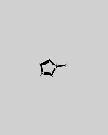 CC(C)n1[c]cnc1